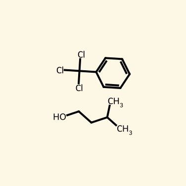 CC(C)CCO.ClC(Cl)(Cl)c1ccccc1